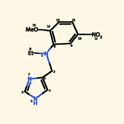 CCN(Cc1c[nH]cn1)c1cc([N+](=O)[O-])ccc1OC